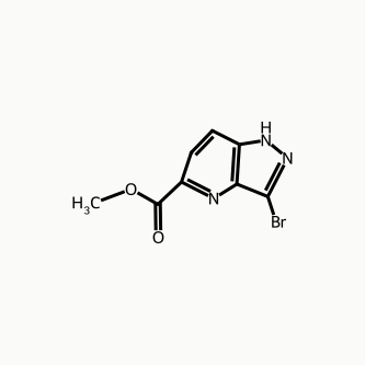 COC(=O)c1ccc2[nH]nc(Br)c2n1